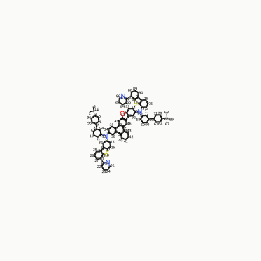 CC(C)(C)c1ccc(-c2cccc(N(c3ccc4sc5c(-c6ccccn6)cccc5c4c3)c3ccc4c(c3)c3ccccc3c3cc5c(cc43)oc3ccc(N(c4cccc(-c6ccc(C(C)(C)C)cc6)c4)c4cccc6c4sc4c(-c7ccccn7)cccc46)cc35)c2)cc1